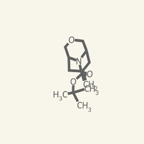 C=C1CC2COCC(C1)N2C(=O)OC(C)(C)C